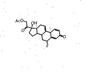 CC(=O)OCC(=O)[C@@]1(O)CCC2C3CC(F)C4=CC(=O)C=C[C@]4(C)C3=CC[C@@]21C